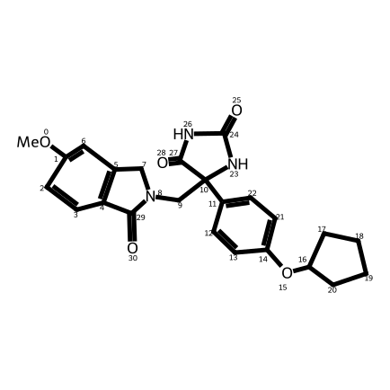 COc1ccc2c(c1)CN(CC1(c3ccc(OC4CCCC4)cc3)NC(=O)NC1=O)C2=O